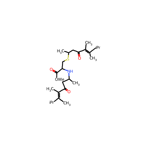 COC(=O)C(CSC(C)CC(=O)/C(C)=C(\C)C(C)C)NC(C)CC(=O)/C(C)=C(\C)C(C)C